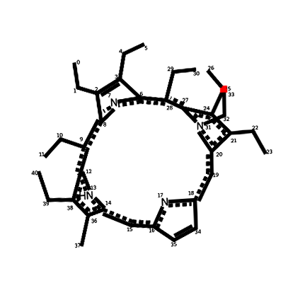 CCC1=C(CC)c2nc1c(CC)c1[nH]c(cc3nc(cc4c(CC)c(CC)c(c2CC)n4CC)C=C3)c(C)c1CC